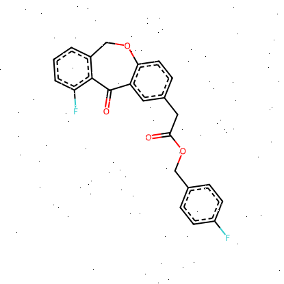 O=C(Cc1ccc2c(c1)C(=O)c1c(F)cccc1CO2)OCc1ccc(F)cc1